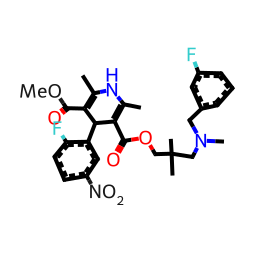 COC(=O)C1=C(C)NC(C)=C(C(=O)OCC(C)(C)CN(C)Cc2cccc(F)c2)C1c1cc([N+](=O)[O-])ccc1F